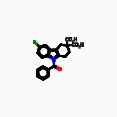 O=C(c1ccccc1)n1c2c(c3cc(F)ccc31)CC(C(=O)O)(C(=O)O)CC2